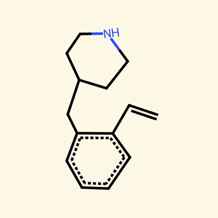 C=Cc1ccccc1CC1CCNCC1